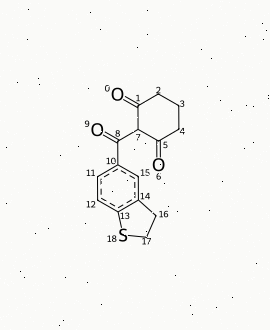 O=C1CCCC(=O)C1C(=O)c1ccc2c(c1)CCS2